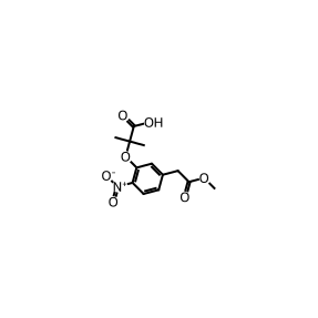 COC(=O)Cc1ccc([N+](=O)[O-])c(OC(C)(C)C(=O)O)c1